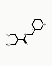 CCC(CC)C(=O)NC[C@H]1CCCNC1